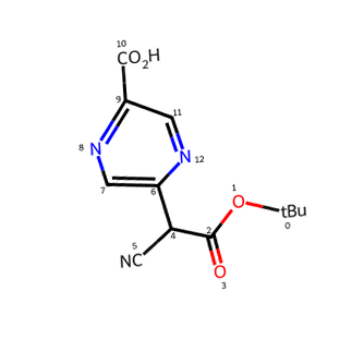 CC(C)(C)OC(=O)C(C#N)c1cnc(C(=O)O)cn1